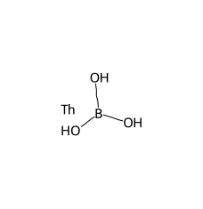 OB(O)O.[Th]